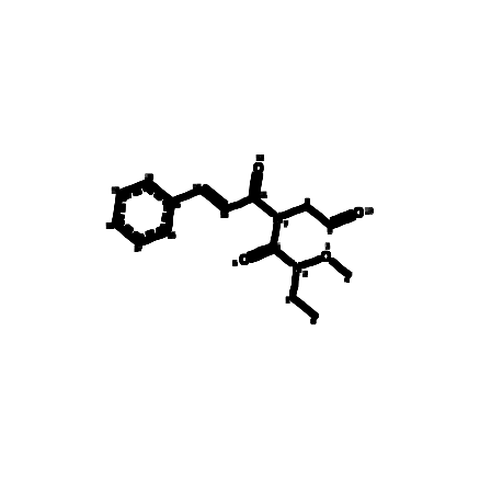 CCN(OC)C(=O)N(C[C]=O)C(=O)C=Cc1ccccc1